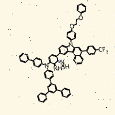 N=C1C(N(c2ccc(-c3ccccc3)cc2)c2ccc(-c3cc(-c4ccccc4)cc(-c4ccccc4)c3)cc2)=CC=C(c2ccc3c(c2)c2c4ccccc4c(-c4ccc(C(F)(F)F)cc4)cc2n3-c2ccc(OCCOc3ccccc3)cc2)/C1=N/S